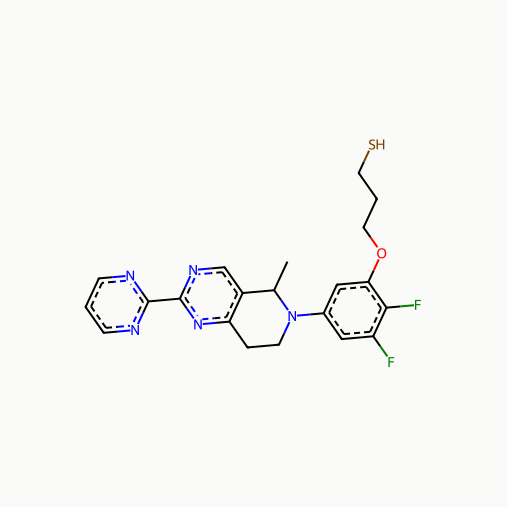 CC1c2cnc(-c3ncccn3)nc2CCN1c1cc(F)c(F)c(OCCCS)c1